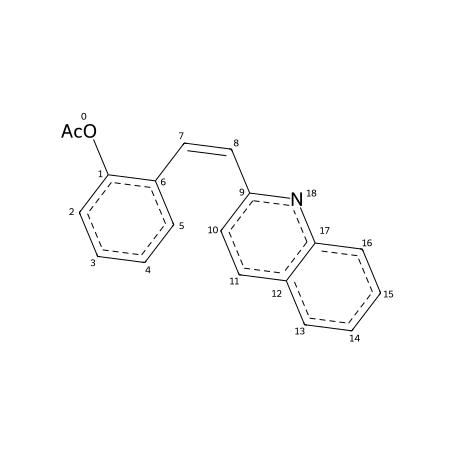 CC(=O)Oc1ccccc1/C=C\c1ccc2ccccc2n1